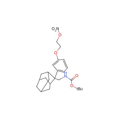 CC(C)(C)OC(=O)NCC1(c2cccc(OCCO[N+](=O)[O-])c2)C2CC3CC(C2)CC1C3